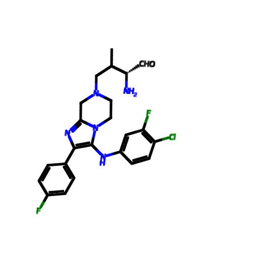 CC(CN1CCn2c(nc(-c3ccc(F)cc3)c2Nc2ccc(Cl)c(F)c2)C1)[C@@H](N)C=O